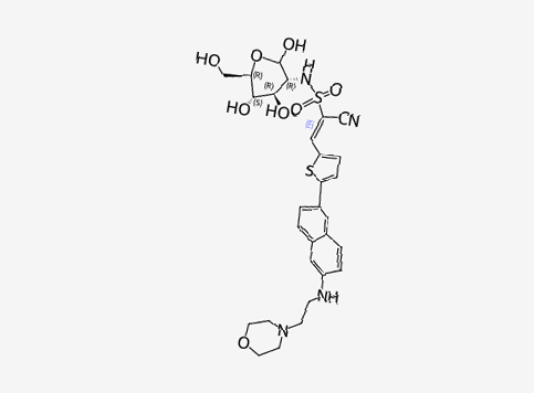 N#C/C(=C\c1ccc(-c2ccc3cc(NCCN4CCOCC4)ccc3c2)s1)S(=O)(=O)N[C@H]1C(O)O[C@H](CO)[C@@H](O)[C@@H]1O